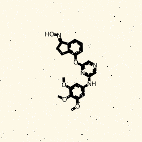 COc1cc(Nc2cncc(Oc3cccc4c3CCC4=NO)n2)cc(OC)c1OC